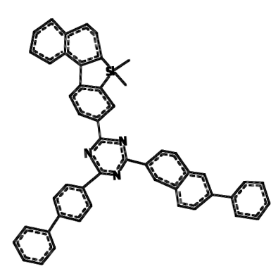 C[Si]1(C)c2cc(-c3nc(-c4ccc(-c5ccccc5)cc4)nc(-c4ccc5cc(-c6ccccc6)ccc5c4)n3)ccc2-c2c1ccc1ccccc21